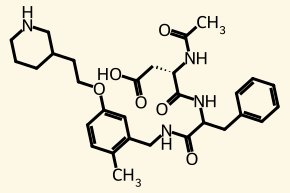 CC(=O)N[C@@H](CC(=O)O)C(=O)NC(Cc1ccccc1)C(=O)NCc1cc(OCCC2CCCNC2)ccc1C